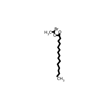 CCCCCCCCCCCCCCCC(=O)OC(C)Br